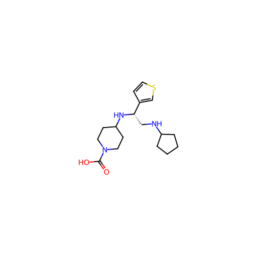 O=C(O)N1CCC(N[C@@H](CNC2CCCC2)c2ccsc2)CC1